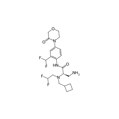 NC[C@H](C(=O)Nc1ccc(N2CCOCC2=O)cc1C(F)F)N(CC(F)F)CC1CCC1